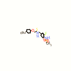 CC(C)(C)c1ccc(OCC(=S)NCc2ccc(NS(C)(=O)=O)c(F)c2)cc1